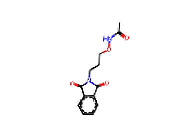 CC(=O)NOCCCN1C(=O)c2ccccc2C1=O